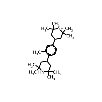 Cc1cc(C2CC(C)(C)NC(C)(C)C2)ccc1C1CC(C)(C)NC(C)(C)C1